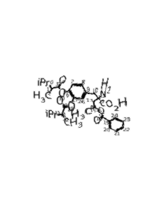 CC(C)C(C)C(=O)Oc1ccc(CC(N)(C[C@H](C)OC(=O)c2ccccc2)C(=O)O)cc1OC(=O)C(C)C(C)C